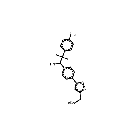 CCCCCCCCCCCc1noc(-c2ccc(C([NH])C(C)(C)c3ccc(C(F)(F)F)cc3)cc2)n1